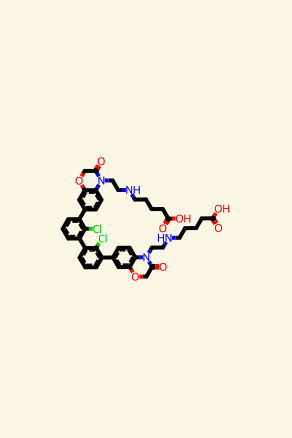 O=C(O)CCCCNCCN1C(=O)COc2cc(-c3cccc(-c4cccc(-c5ccc6c(c5)OCC(=O)N6CCNCCCCC(=O)O)c4Cl)c3Cl)ccc21